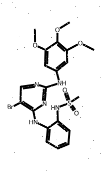 COc1cc(Nc2ncc(Br)c(Nc3ccccc3NS(C)(=O)=O)n2)cc(OC)c1OC